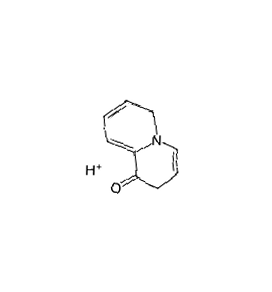 O=C1CC=CN2CC=CC=C12.[H+]